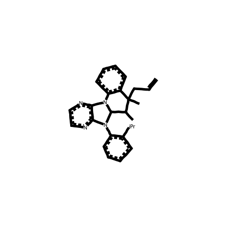 C=CCC1(C)c2ccccc2N2c3nccnc3N(c3ccccc3C(C)C)C2C1C